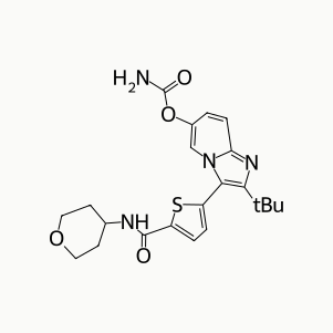 CC(C)(C)c1nc2ccc(OC(N)=O)cn2c1-c1ccc(C(=O)NC2CCOCC2)s1